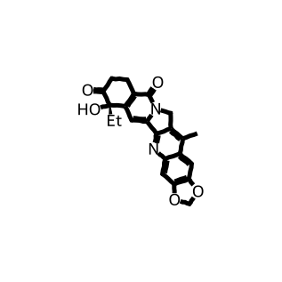 CC[C@@]1(O)C(=O)CCc2c1cc1n(c2=O)Cc2c-1nc1cc3c(cc1c2C)OCO3